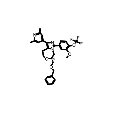 COc1cc(-c2nc(-c3cc(C)nc(C)c3)c3n2C[C@@H](COCc2ccccc2)OCC3)ccc1OC(F)(F)F